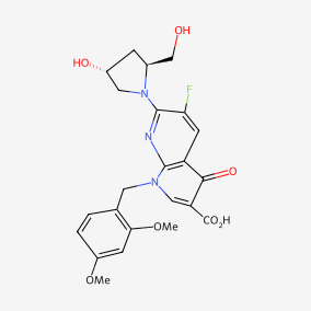 COc1ccc(Cn2cc(C(=O)O)c(=O)c3cc(F)c(N4C[C@H](O)C[C@H]4CO)nc32)c(OC)c1